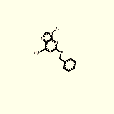 CCn1cnc2c(N)nc(NCc3ccccc3)nc21